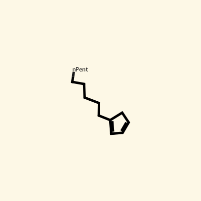 CCCCCCCCCCC1=CC=CC1